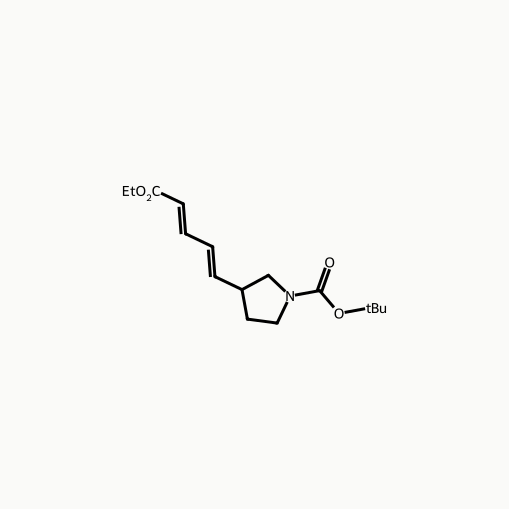 CCOC(=O)/C=C/C=C/C1CCN(C(=O)OC(C)(C)C)C1